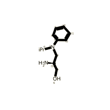 CC(C)N(C[C@H](N)CO)c1ccccc1